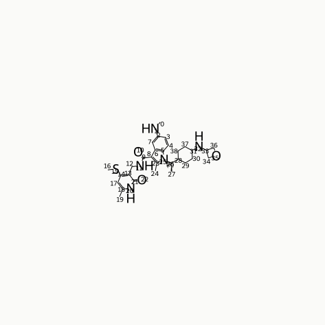 CNc1ccc2c(c1)c(C(=O)NCc1c(SC)cc(C)[nH]c1=O)c(C)n2[C@H](C)C1CCC(NC2COC2)CC1